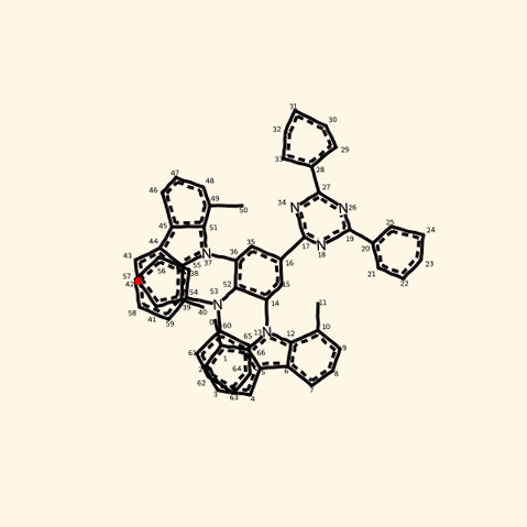 Cc1cccc2c3cccc(C)c3n(-c3cc(-c4nc(-c5ccccc5)nc(-c5ccccc5)n4)cc(-n4c5c(C)cccc5c5cccc(C)c54)c3N(c3ccccc3)c3ccccc3)c12